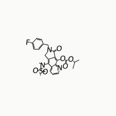 CC(C)OC(=O)Oc1c2c(c(N(C)S(C)(=O)=O)c3cccnc13)CN(Cc1ccc(F)cc1)C2=O